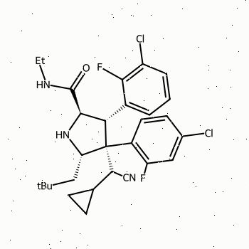 CCNC(=O)[C@@H]1N[C@@H](CC(C)(C)C)[C@@](c2ccc(Cl)cc2F)(C(C#N)C2CC2)[C@H]1c1cccc(Cl)c1F